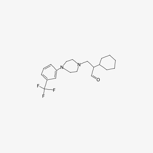 O=CC(CN1CCN(c2cccc(C(F)(F)F)c2)CC1)C1CCCCC1